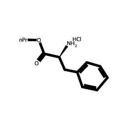 CCCOC(=O)[C@@H](N)Cc1ccccc1.Cl